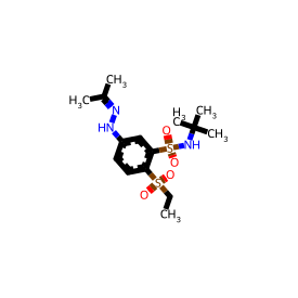 CCS(=O)(=O)c1ccc(NN=C(C)C)cc1S(=O)(=O)NC(C)(C)C